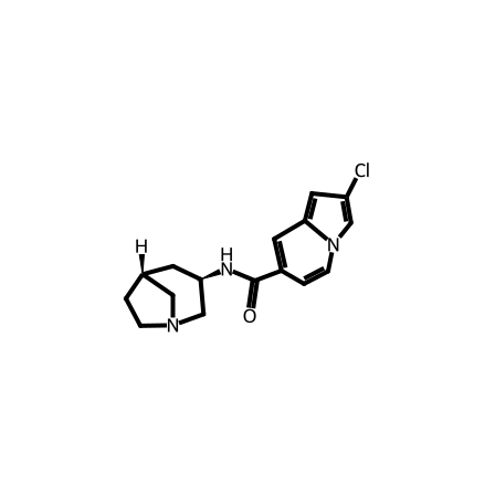 O=C(N[C@@H]1C[C@H]2CCN(C2)C1)c1ccn2cc(Cl)cc2c1